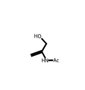 C=C(CO)NC(C)=O